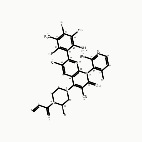 C=CC(=O)N1CCN(c2c(C#N)c(=O)n(-c3c(C)ccnc3C(C)C)c3nc(-c4c(N)c(F)c(F)c(C(F)(F)F)c4F)c(Cl)cc23)C[C@H]1C